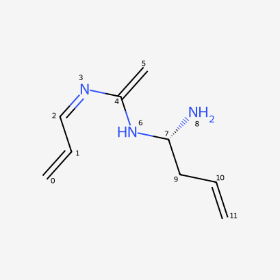 C=C/C=N\C(=C)N[C@H](N)CC=C